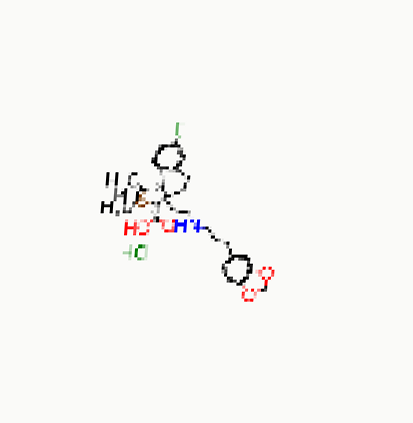 CS[C@@H](C(=O)O)C1(CCNCCCc2ccc3c(c2)OCO3)CCc2cc(F)ccc2[C@H]1C(C)C.Cl